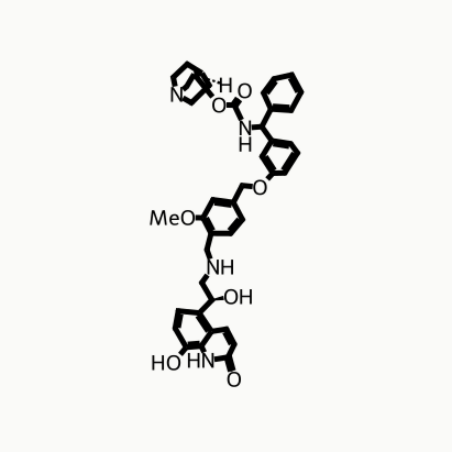 COc1cc(COc2cccc(C(NC(=O)O[C@H]3CN4CCC3CC4)c3ccccc3)c2)ccc1CNC[C@@H](O)c1ccc(O)c2[nH]c(=O)ccc12